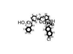 C[C@@H](C(=O)N1CCC[C@H](N(Cc2ccccc2)C(=O)O)C1)N1CC[C@H](NS(=O)(=O)c2ccc3cc(Cl)ccc3c2)C1=O